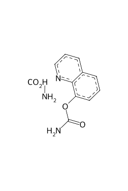 NC(=O)O.NC(=O)Oc1cccc2cccnc12